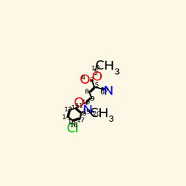 CCOC(=O)/C(C#N)=C/C=C1\Oc2ccc(Cl)cc2N1C